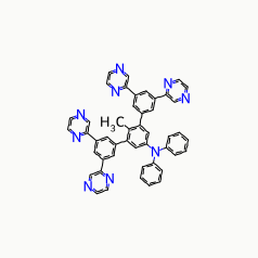 Cc1c(-c2cc(-c3cnccn3)cc(-c3cnccn3)c2)cc(N(c2ccccc2)c2ccccc2)cc1-c1cc(-c2cnccn2)cc(-c2cnccn2)c1